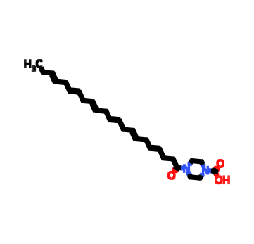 CC/C=C/C/C=C/C/C=C/C/C=C/C/C=C/C/C=C/CCC(=O)N1CCN(C(=O)O)CC1